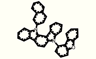 c1ccc2cc(-n3c4ccccc4c4ccc5c(c6ccccc6n5-c5cccc6oc7ccccc7c56)c43)ccc2c1